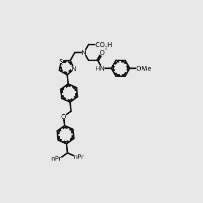 CCCC(CCC)c1ccc(OCc2ccc(-c3csc(CN(CC(=O)O)CC(=O)Nc4ccc(OC)cc4)n3)cc2)cc1